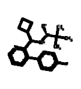 CC(C)(C)[S@+]([O-])NC(c1ncccc1-c1ccc(F)cc1)C1CCC1